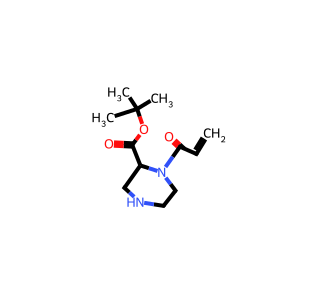 C=CC(=O)N1CCNCC1C(=O)OC(C)(C)C